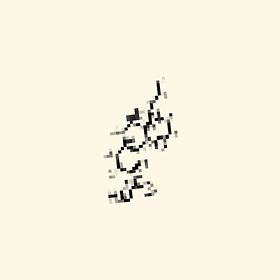 CCCN1CCOC2c3cc(C(=O)O)ccc3CC[C@H]21